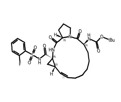 CC(C)(C)OC(=O)N[C@H]1CCCCC/C=C\[C@@H]2C[C@@]2(C(=O)NS(=O)(=O)c2ccccc2F)NC(=O)[C@@H]2CCCN2C1=O